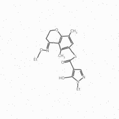 CCON=C1CCOc2c(C)cc(SC(=O)c3cnn(CC)c3O)c(C)c21